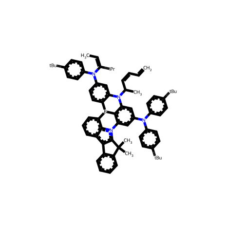 C=C/C=C\C(C)N1c2cc(N(/C(=C\C)C(C)C)c3ccc(C(C)(C)C)cc3)ccc2B2c3c1cc(N(c1ccc(C(C)(C)C)cc1)c1ccc(C(C)(C)C)cc1)cc3-n1c3c(c4cccc2c41)-c1ccccc1C3(C)C